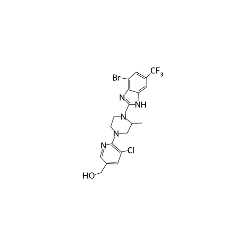 CC1CN(c2ncc(CO)cc2Cl)CCN1c1nc2c(Br)cc(C(F)(F)F)cc2[nH]1